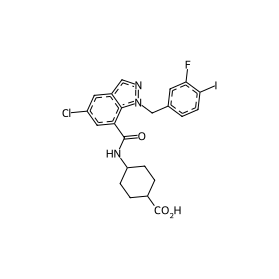 O=C(NC1CCC(C(=O)O)CC1)c1cc(Cl)cc2cnn(Cc3ccc(I)c(F)c3)c12